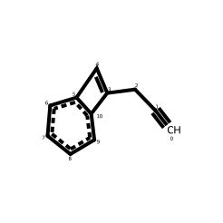 C#CCC1=Cc2ccccc21